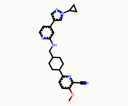 COc1ccc(C2CCC(CNc3cc(-c4cnn(C5CC5)c4)ccn3)CC2)nc1C#N